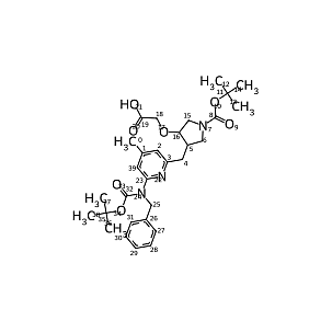 Cc1cc(CC2CN(C(=O)OC(C)(C)C)CC2OCC(=O)O)nc(N(Cc2ccccc2)C(=O)OC(C)(C)C)c1